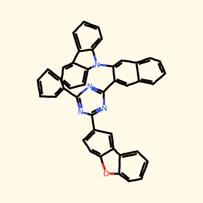 c1ccc(-c2nc(-c3ccc4oc5ccccc5c4c3)nc(-c3cc4ccccc4cc3-n3c4ccccc4c4ccccc43)n2)cc1